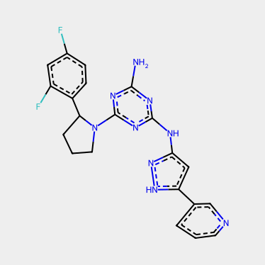 Nc1nc(Nc2cc(-c3cccnc3)[nH]n2)nc(N2CCCC2c2ccc(F)cc2F)n1